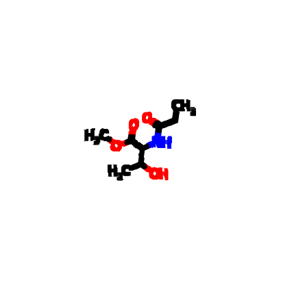 CCC(=O)NC(C(=O)OC)C(C)O